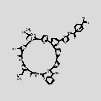 CNC(=O)C[C@@H]1NC(=O)c2csc(n2)-c2ccc(-c3nc(NC(=O)C45CCC(C(=O)O)(CC4)CC5)cs3)nc2-c2csc(n2)-c2csc(n2)[C@H]([C@@H](O)c2ccccc2)NC(=O)CNC(=O)c2nc(sc2COC)NC(=O)c2nc1sc2C